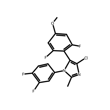 COc1cc(F)c(-c2c(Cl)nc(C)n2-c2ccc(F)c(F)c2)c(F)c1